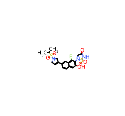 CC(C)S(=O)(=O)N1CC=C(c2ccc3cc(O)c(N4CC(=O)NS4(=O)=O)c(F)c3c2)C1